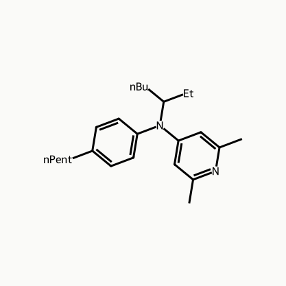 CCCCCc1ccc(N(c2cc(C)nc(C)c2)C(CC)CCCC)cc1